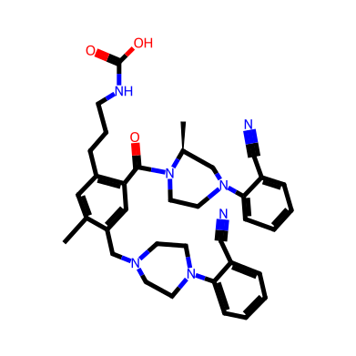 Cc1cc(CCCNC(=O)O)c(C(=O)N2CCN(c3ccccc3C#N)C[C@@H]2C)cc1CN1CCN(c2ccccc2C#N)CC1